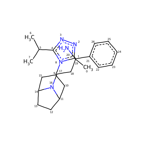 Cc1nnc(C(C)C)n1C1CC2CCC(C1)N2CCC(N)c1ccccc1